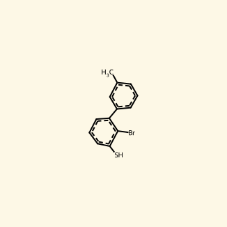 Cc1cccc(-c2cccc(S)c2Br)c1